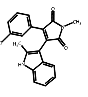 Cc1[nH]c2ccccc2c1C1=C(c2cccc(Cl)c2)C(=O)N(C)C1=O